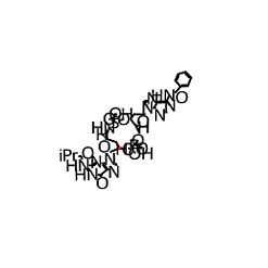 CC(C)C(=O)Nc1nc2c(ncn2[C@@H]2O[C@@H]3CNS(=O)(=O)O[C@H]4C[C@H](n5cnc6c(NC(=O)c7ccccc7)ncnc65)O[C@@H]4COP(=O)(O)O[C@@H]2C3)c(=O)[nH]1